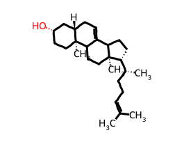 CC(C)=CCC[C@@H](C)[C@H]1CCC2C3=CC[C@H]4C[C@@H](O)CC[C@]4(C)C3CC[C@@]21C